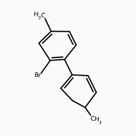 Cc1ccc(C2=CCC(C)C=C2)c(Br)c1